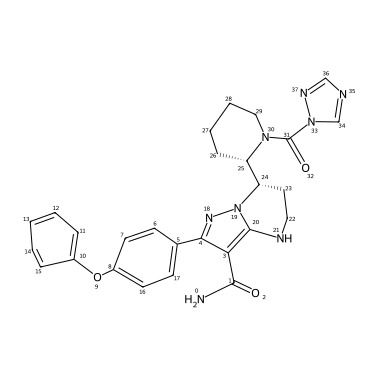 NC(=O)c1c(-c2ccc(Oc3ccccc3)cc2)nn2c1NCC[C@H]2[C@@H]1CCCCN1C(=O)n1cncn1